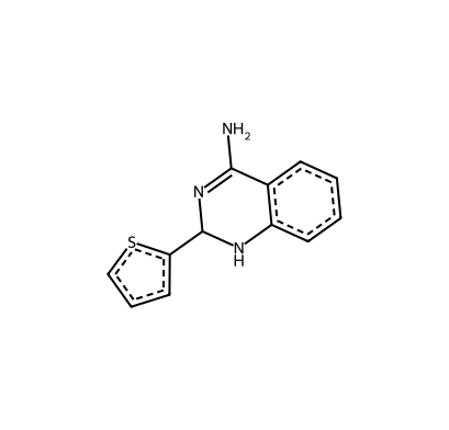 NC1=NC(c2cccs2)Nc2ccccc21